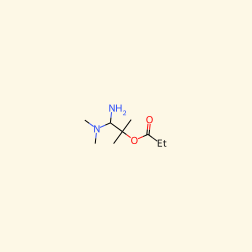 CCC(=O)OC(C)(C)C(N)N(C)C